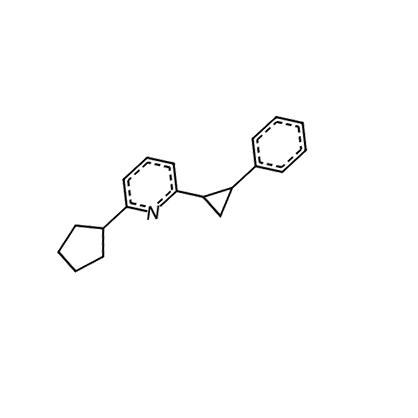 c1ccc(C2CC2c2cccc(C3CCCC3)n2)cc1